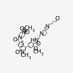 COc1cc(-c2cn(C)c(=O)c3cc(C(=O)N4CCN(S(C)(=O)=O)CC4)sc23)ccc1C(=O)NCCN1CCC2(C1)CN(CCCC=O)C2